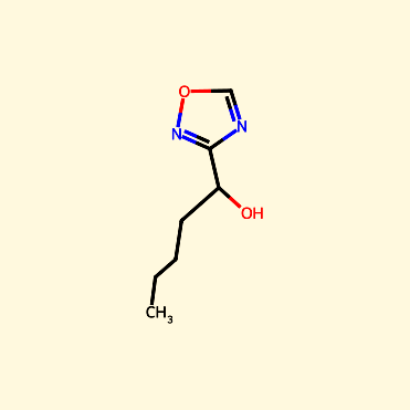 CCCCC(O)c1ncon1